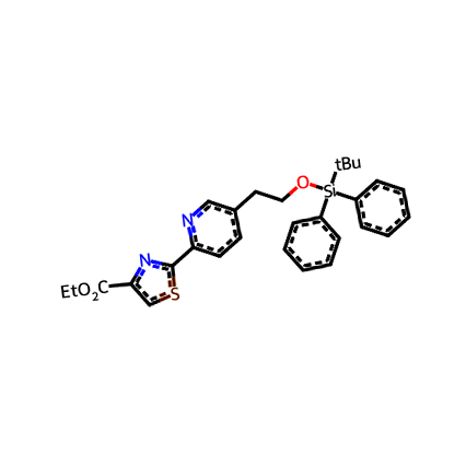 CCOC(=O)c1csc(-c2ccc(CCO[Si](c3ccccc3)(c3ccccc3)C(C)(C)C)cn2)n1